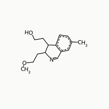 COCCC1N=Cc2cc(C)ccc2C1CCO